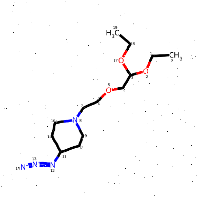 CCOC(COCCN1CCC(N=[N+]=[N-])CC1)OCC